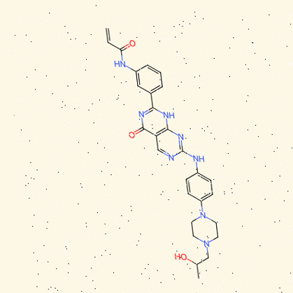 C=CC(=O)Nc1cccc(-c2nc(=O)c3cnc(Nc4ccc(N5CCN(CC(C)O)CC5)cc4)nc3[nH]2)c1